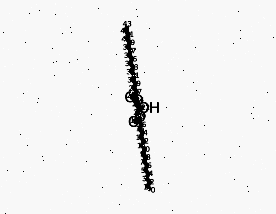 CCCCCCCCC=CCCCCCCCC(=O)OCC(O)COC(=O)CCCCCCCCCCCCCCCCC